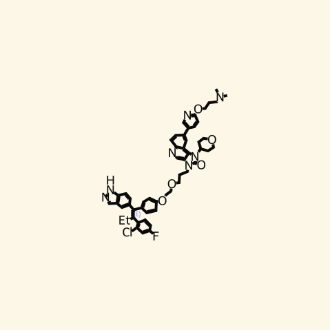 CC/C(=C(/c1ccc(OCCOCCCn2c(=O)n(C3CCOCC3)c3c4cc(-c5ccc(OCCCN(C)C)nc5)ccc4ncc32)cc1)c1ccc2[nH]ncc2c1)c1ccc(F)cc1Cl